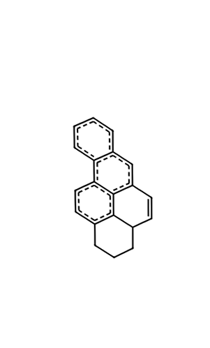 C1=CC2CCCc3ccc4c(c1cc1ccccc14)c32